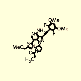 C=CC(=O)N1CC[C@H](n2nc(C#Cc3c(F)c(OC)cc(OC)c3F)c3c(N)ncc(-c4ncc(COC)s4)c32)C1